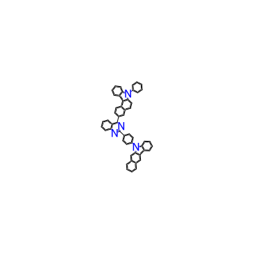 c1ccc(-n2c3ccccc3c3c4ccc(-c5nc(-c6ccc(-n7c8ccccc8c8cc9ccccc9cc87)cc6)nc6ccccc56)cc4ccc32)cc1